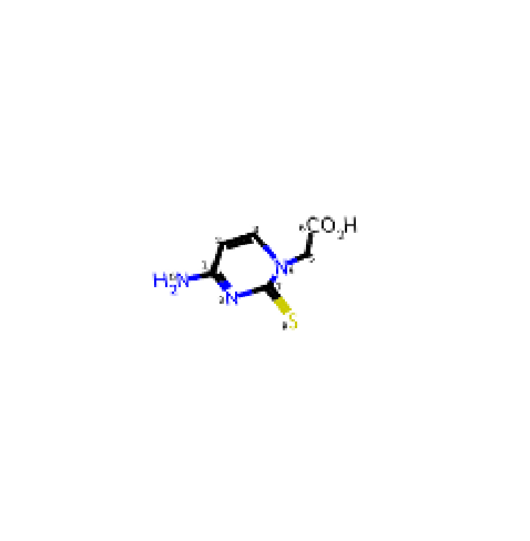 Nc1ccn(CC(=O)O)c(=S)n1